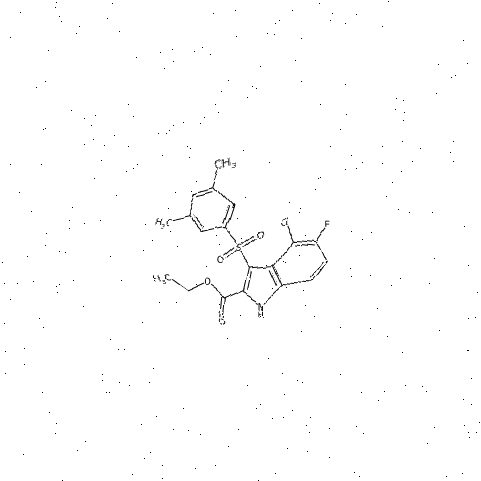 CCOC(=O)c1[nH]c2ccc(F)c(Cl)c2c1S(=O)(=O)c1cc(C)cc(C)c1